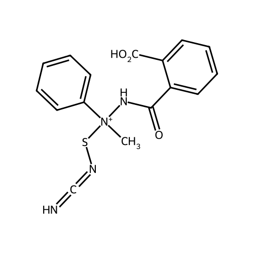 C[N+](NC(=O)c1ccccc1C(=O)O)(SN=C=N)c1ccccc1